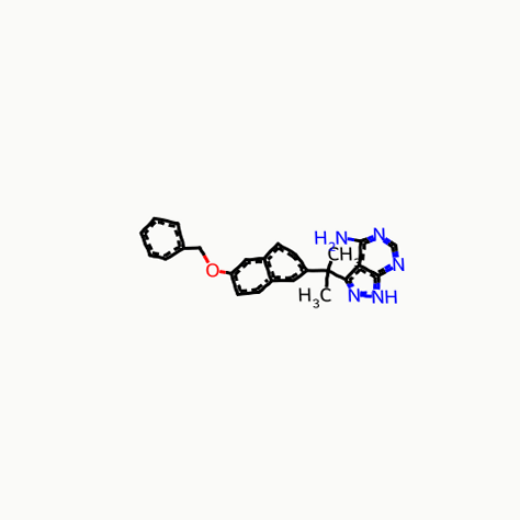 CC(C)(c1ccc2cc(OCc3ccccc3)ccc2c1)c1n[nH]c2ncnc(N)c12